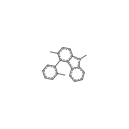 Cc1ccccc1-c1c(C)ccc2c1c1ccccc1n2C